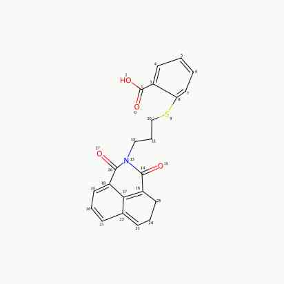 O=C(O)c1ccccc1SCCCN1C(=O)C2=c3c(cccc3=CCC2)C1=O